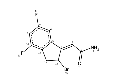 NC(=O)C=C1c2cc(F)cc(F)c2CC1Br